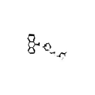 Cc1cc(NC(=O)C[N+]23CCC(CC2)C(OC(=O)C2c4ccccc4Cc4ccccc42)C3)no1